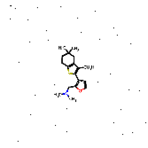 CN(C)Cc1occc1-c1sc2c(c1C(=O)O)CC(C)(C)CC2